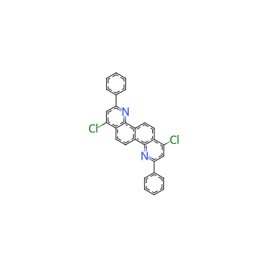 Clc1cc(-c2ccccc2)nc2c1ccc1c2ccc2c(Cl)cc(-c3ccccc3)nc21